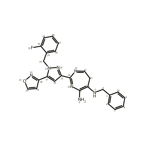 NC1=C(NCc2ccccc2)CC=NC(c2cc(-c3ccon3)n(Cc3ccccc3F)n2)=N1